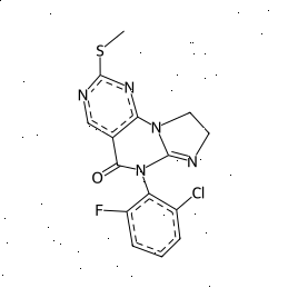 CSc1ncc2c(n1)N1CCN=C1N(c1c(F)cccc1Cl)C2=O